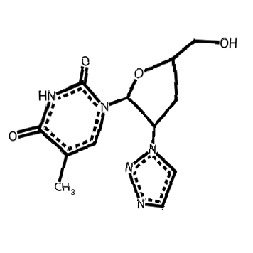 Cc1cn(C2OC(CO)CC2n2c[c]nn2)c(=O)[nH]c1=O